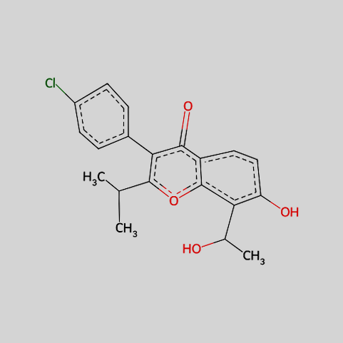 CC(C)c1oc2c(C(C)O)c(O)ccc2c(=O)c1-c1ccc(Cl)cc1